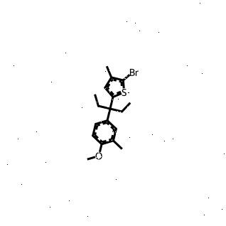 CCC(CC)(c1ccc(OC)c(C)c1)c1cc(C)c(Br)s1